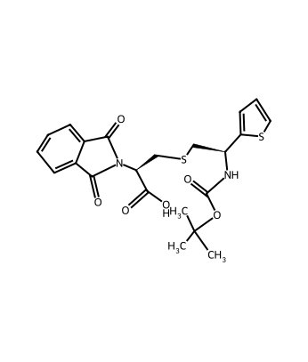 CC(C)(C)OC(=O)N[C@@H](CSC[C@@H](C(=O)O)N1C(=O)c2ccccc2C1=O)c1cccs1